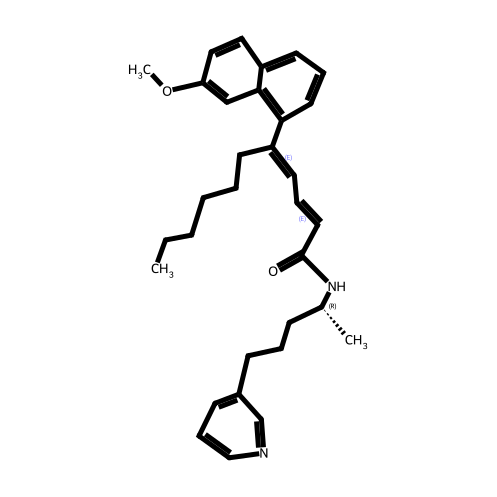 CCCCCC/C(=C\C=C\C(=O)N[C@H](C)CCCc1cccnc1)c1cccc2ccc(OC)cc12